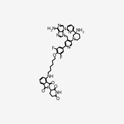 Nc1ncnc2c1ncn2Cc1cc(-c2cc(F)c(OCCCCCCNc3cccc4c3C(=O)N(C3CCC(=O)NC3=O)C4=O)c(F)c2)ncc1N1CCC[C@](N)(c2ccccn2)C1